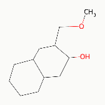 COCC1CC2CCCCC2CC1O